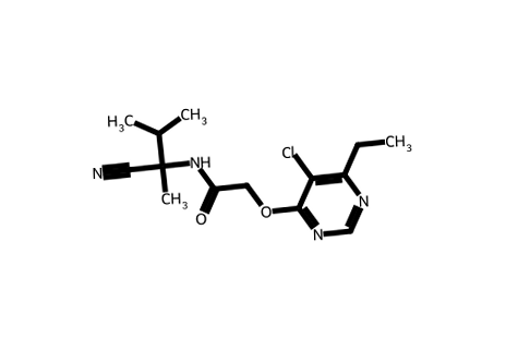 CCc1ncnc(OCC(=O)NC(C)(C#N)C(C)C)c1Cl